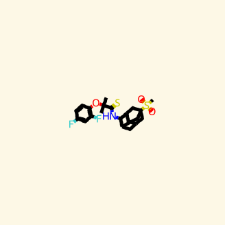 CC(C)(Oc1ccc(F)cc1F)C(=S)NC1C2CC3CC1CC(S(C)(=O)=O)(C3)C2